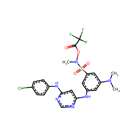 CN(C)c1cc(Nc2cc(Nc3ccc(Cl)cc3)ncn2)cc(S(=O)(=O)N(C)OC(=O)C(F)(F)F)c1